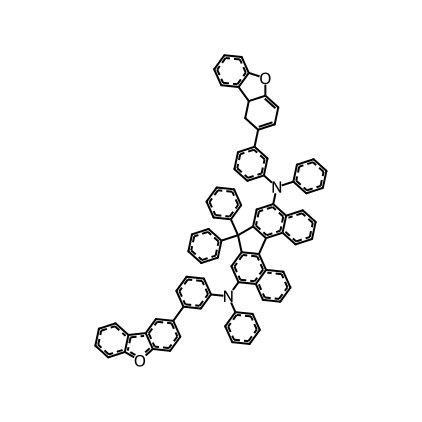 C1=C(c2cccc(N(c3ccccc3)c3cc4c(c5ccccc35)-c3c(cc(N(c5ccccc5)c5cccc(-c6ccc7oc8ccccc8c7c6)c5)c5ccccc35)C4(c3ccccc3)c3ccccc3)c2)CC2C(=C1)Oc1ccccc12